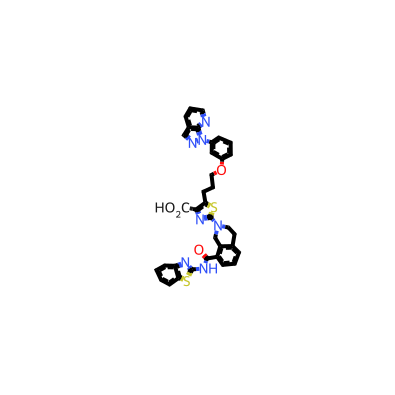 O=C(Nc1nc2ccccc2s1)c1cccc2c1CN(c1nc(C(=O)O)c(CCCOc3cccc(-n4ncc5cccnc54)c3)s1)CC2